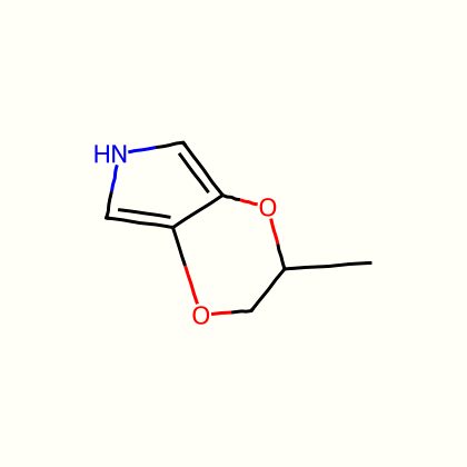 CC1COc2c[nH]cc2O1